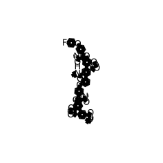 CCN(c1cc2oc(-c3ccc(Oc4cccc(-c5ccc(-c6cc7c(C(=O)NC)c(-c8ccc(Oc9ccc(F)cc9)cc8)oc7cc6N(CC)S(C)(=O)=O)cc5C(=O)NC(C)(C)C)c4)cc3)c(C(=O)NC)c2cc1-c1cccc(C(=O)N(C)C(C)(C)C)c1)S(C)(=O)=O